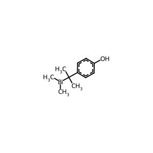 [CH3][Bi]([CH3])[C](C)(C)c1ccc(O)cc1